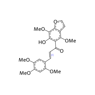 COc1cc(OC)c(OC)cc1/C=C/C(=O)c1c(O)c(OC)c2occc2c1OC